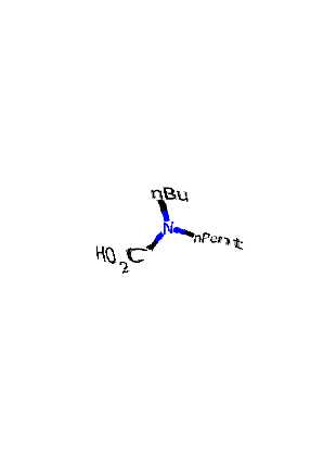 CCCCCN(CCCC)C(=O)O